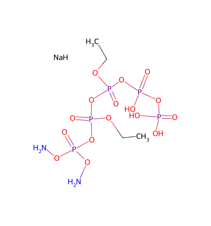 CCOP(=O)(OP(=O)(O)OP(=O)(O)O)OP(=O)(OCC)OP(=O)(ON)ON.[NaH]